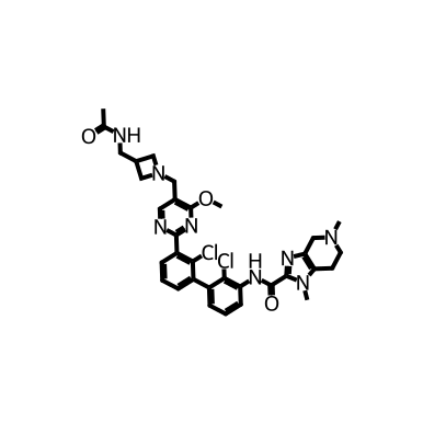 COc1nc(-c2cccc(-c3cccc(NC(=O)c4nc5c(n4C)CCN(C)C5)c3Cl)c2Cl)ncc1CN1CC(CNC(C)=O)C1